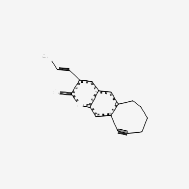 CC(=O)/C=C/c1cc2cc3c(cc2oc1=O)C#CCCCC3